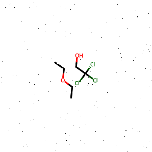 CCOCC.OCC(Cl)(Cl)Cl